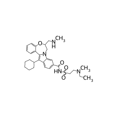 CCN(C)CCS(=O)(=O)NC(=O)c1ccc2c(C3CCCCC3)c3n(c2c1)CC(CNC)Oc1ccccc1-3